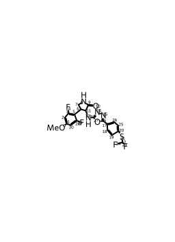 COc1cc(F)c(C2CNC(=O)C2Nc2nnc(-c3ccc(SC(F)F)cc3)o2)c(F)c1